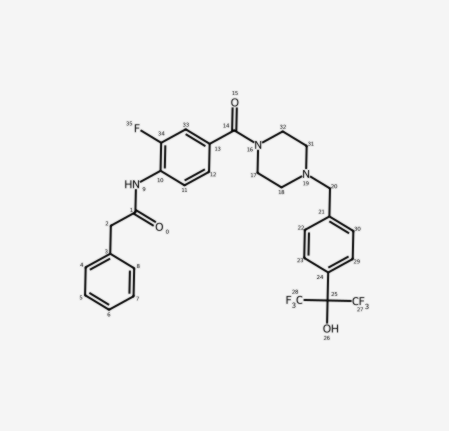 O=C(Cc1ccccc1)Nc1ccc(C(=O)N2CCN(Cc3ccc(C(O)(C(F)(F)F)C(F)(F)F)cc3)CC2)cc1F